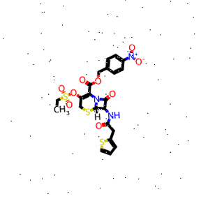 CCS(=O)(=O)OC1=C(C(=O)OCc2ccc([N+](=O)[O-])cc2)N2C(=O)C(NC(=O)Cc3cccs3)[C@@H]2SC1